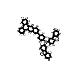 c1ccc2c(c1)oc1ccc(N(c3ccc(-c4ccc5cc6c7ccccc7c7ccccc7c6cc5c4)cc3)c3ccc4oc5ccccc5c4c3)cc12